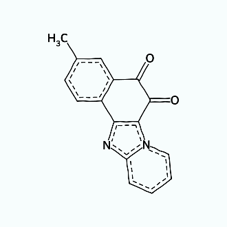 Cc1ccc2c(c1)C(=O)C(=O)c1c-2nc2ccccn12